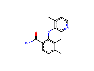 Cc1ccncc1Nc1c(C(N)=O)ccc(C)c1C